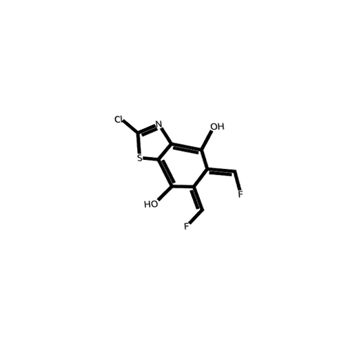 Oc1c(=CF)c(=CF)c(O)c2sc(Cl)nc12